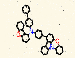 c1ccc(-c2ccc(N(c3ccc(-c4ccc5c6c4c4ccccc4n6-c4ccccc4O5)cc3)c3cccc4oc5ccccc5c34)cc2)cc1